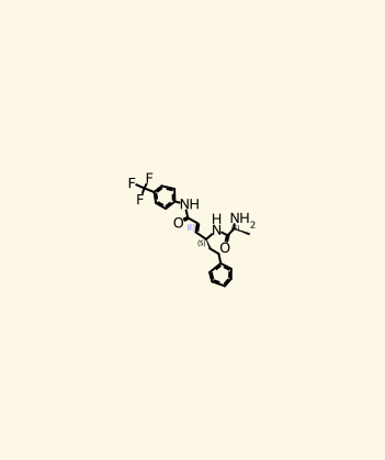 C[C@H](N)C(=O)N[C@H](/C=C/C(=O)Nc1ccc(C(F)(F)F)cc1)CCc1ccccc1